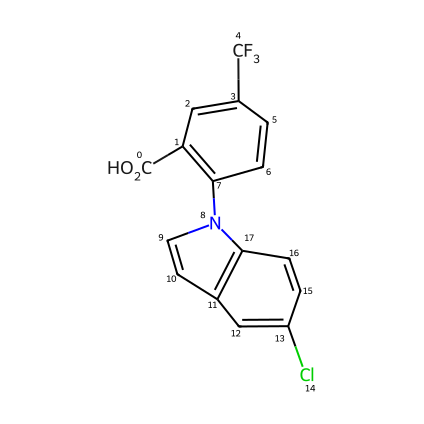 O=C(O)c1cc(C(F)(F)F)ccc1-n1ccc2cc(Cl)ccc21